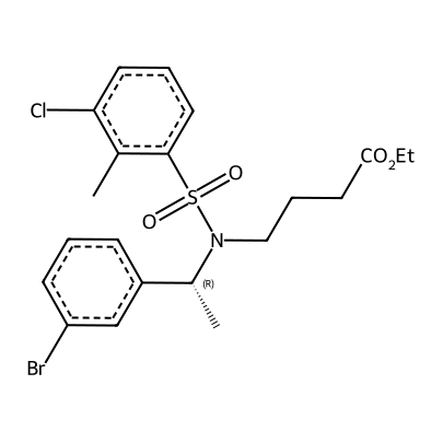 CCOC(=O)CCCN([C@H](C)c1cccc(Br)c1)S(=O)(=O)c1cccc(Cl)c1C